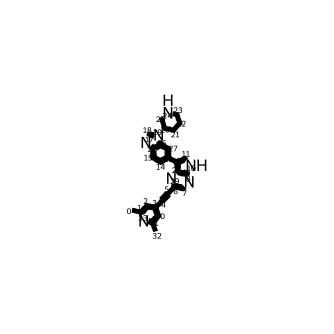 Cc1cc(C#Cc2cnc3[nH]cc(-c4ccc5ncn(C6CCCNC6)c5c4)c3n2)cc(C)n1